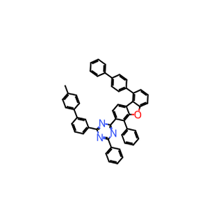 Cc1ccc(-c2cccc(-c3nc(-c4ccccc4)nc(-c4ccc5c(oc6cccc(-c7ccc(-c8ccccc8)cc7)c65)c4-c4ccccc4)n3)c2)cc1